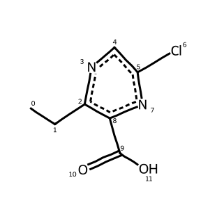 CCc1ncc(Cl)nc1C(=O)O